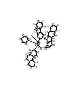 CC1C/C=C2/C(=C(c3ccc4c(ccc5ccccc54)c3)\N=C/1c1ccccc1)Cc1ccc3c4cc5ccccc5cc4n(c3c1)-c1cc3c(cc12)oc1ccccc13